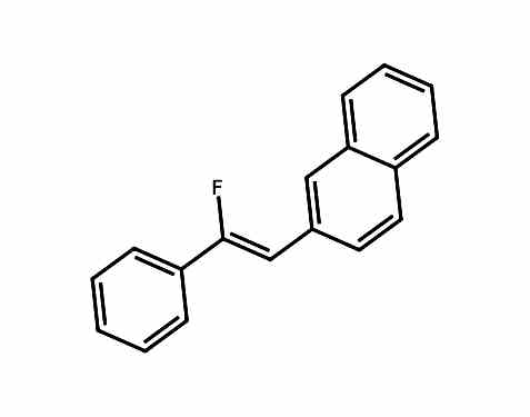 FC(=Cc1ccc2ccccc2c1)c1ccccc1